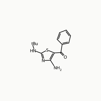 CC(C)(C)Nc1nc(N)c(C(=O)c2ccccc2)s1